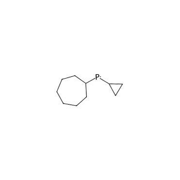 C1CCCC([P]C2CC2)CC1